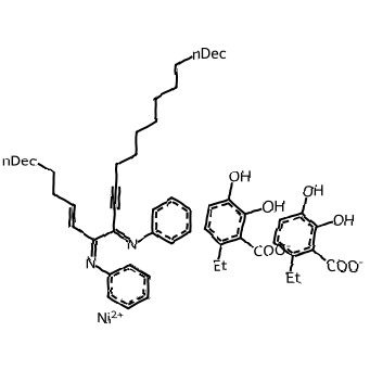 CCCCCCCCCCCCC=CC(=Nc1ccccc1)C(C#CCCCCCCCCCCCCCCCCC)=Nc1ccccc1.CCc1ccc(O)c(O)c1C(=O)[O-].CCc1ccc(O)c(O)c1C(=O)[O-].[Ni+2]